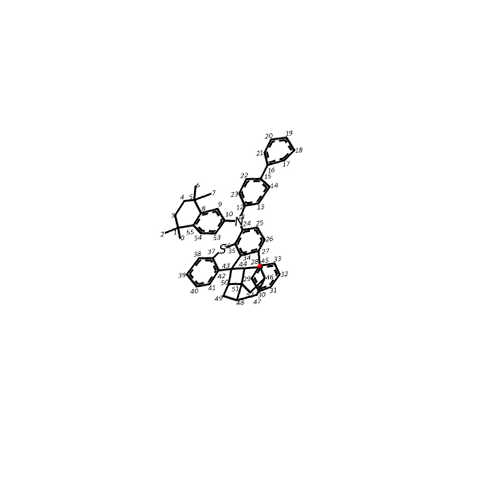 CC1(C)CCC(C)(C)c2cc(N(c3ccc(-c4ccccc4)cc3)c3ccc(-c4ccccc4)c4c3Sc3ccccc3C43C4CC5CC6CC3C64C5)ccc21